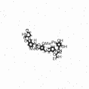 CCNC(=O)c1nnc(-c2cc(C(C)C)c(O)cc2O)n1-c1ccc2c(c1)CN(Cc1cc(OC)c(OC(=O)Nc3cccc4c3CN(C3CCC(=O)NC3=O)C4=O)c(OC)c1)C2